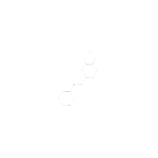 O=C(Cc1ccc2c(c1)OCO2)C1CCCCC1